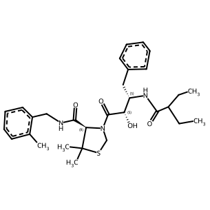 CCC(CC)C(=O)N[C@@H](Cc1ccccc1)[C@H](O)C(=O)N1CSC(C)(C)[C@H]1C(=O)NCc1ccccc1C